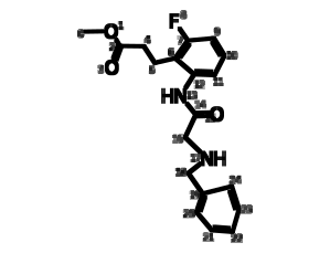 COC(=O)CCc1c(F)cccc1NC(=O)CNCc1ccccc1